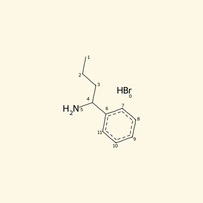 Br.CCCC(N)c1ccccc1